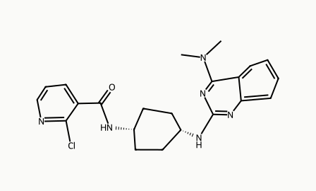 CN(C)c1nc(N[C@H]2CC[C@@H](NC(=O)c3cccnc3Cl)CC2)nc2ccccc12